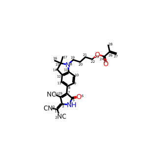 [C-]#[N+]C([N+]#[C-])=C1NC(=O)C(c2ccc3c(c2)CC(C)(C)N3CCCCOC(=O)C(=C)C)=C1C#N